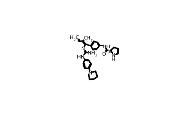 C=C/C(C)=C(\N=C(/N)Nc1ccc(N2CCCCC2)cc1)c1ccc(NC(=O)[C@H]2CCCN2)cc1